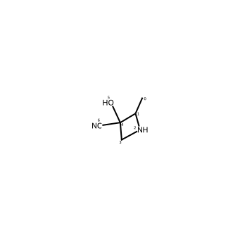 CC1NCC1(O)C#N